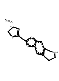 O=C(O)[C@H]1CSC(c2nc3cc4c(cc3s2)NCC4)=N1